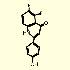 O=c1cc(-c2ccc(O)cc2)[nH]c2ccc(F)c(F)c12